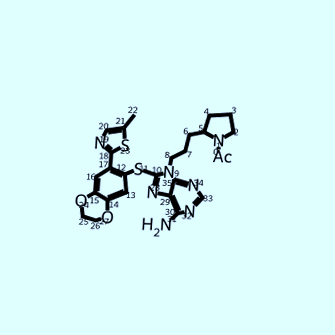 CC(=O)N1CCCC1CCCn1c(Sc2cc3c(cc2-c2ncc(C)s2)OCCO3)nc2c(N)ncnc21